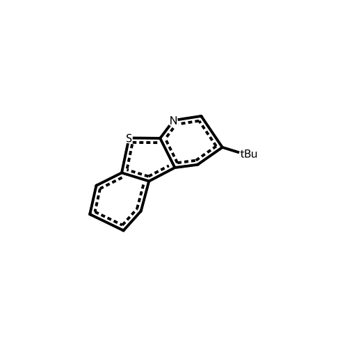 CC(C)(C)c1cnc2sc3ccccc3c2c1